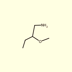 CCC(CN)OC